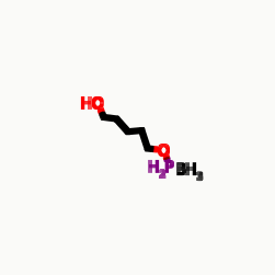 B.OCCCCCOP